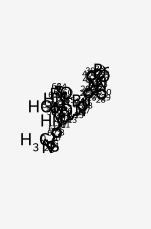 Cc1ncsc1-c1ccc([C@H](CCCCCN2CCC(c3ccc4c(c3)C3(CCCCC3)c3nc(=O)c5c(Br)cccc5n3-4)CC2)NC(=O)[C@@H]2C[C@@H](O)CN2C(=O)[C@@H](NC(=O)C2(F)CC2)C(C)(C)C)cc1